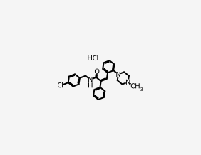 CN1CCN(c2ccccc2C=C(C(=O)NCc2ccc(Cl)cc2)c2ccccc2)CC1.Cl